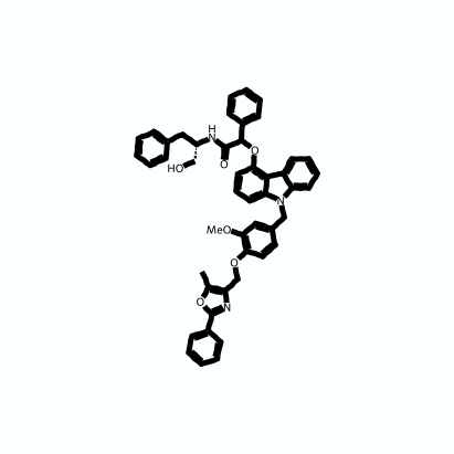 COc1cc(Cn2c3ccccc3c3c(OC(C(=O)N[C@H](CO)Cc4ccccc4)c4ccccc4)cccc32)ccc1OCc1nc(-c2ccccc2)oc1C